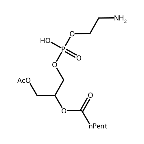 CCCCCC(=O)OC(COC(C)=O)COP(=O)(O)OCCN